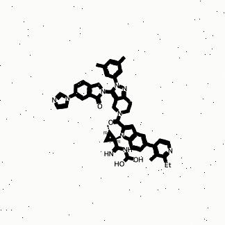 CCc1nccc(-c2ccc3c(c2)cc(C(=O)N2CCc4nn(-c5cc(C)cc(C)c5)c(N5Cc6ccc(-n7ccnc7)cc6C5=O)c4C2)n3[C@@]2(C(=N)NC(O)O)C[C@@H]2C)c1C